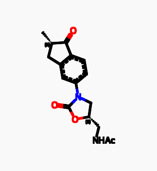 CC(=O)NC[C@H]1CN(c2ccc3c(c2)C[C@H](C)C3=O)C(=O)O1